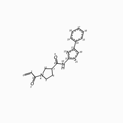 C=CC(=O)N1CCC(C(=O)Nc2nc(-c3ccccc3)cs2)C1